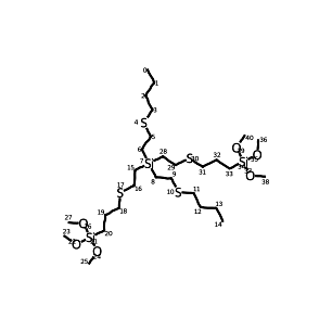 CCCCSCC[Si](CCSCCCC)(CCSCCC[Si](OC)(OC)OC)CCSCCC[Si](OC)(OC)OC